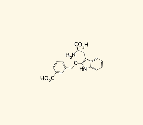 N[C@H](Cc1c(OCc2cccc(C(=O)O)c2)[nH]c2ccccc12)C(=O)O